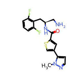 Cn1nccc1-c1csc(C(=O)N[C@H](CN)Cc2c(F)cccc2F)c1